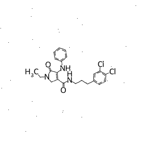 CCN1CC(C(=O)NCCCc2ccc(Cl)c(Cl)c2)=C(Nc2ccccc2)C1=O